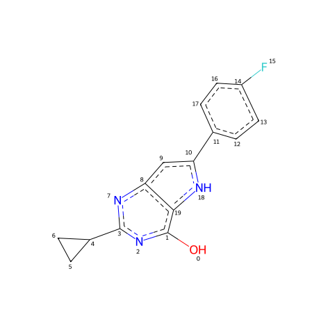 Oc1nc(C2CC2)nc2cc(-c3ccc(F)cc3)[nH]c12